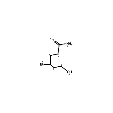 CCC(CCO)COC(N)=O